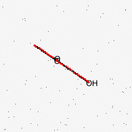 CCCCCCCCC=CCCCCCCCCCCCCCC(=O)OCCCCCCCCCCCCCCCCCCCCCCCCCCCCCCCCCO